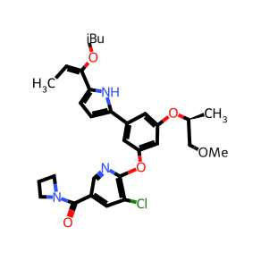 C/C=C(/OC(C)CC)c1ccc(-c2cc(Oc3ncc(C(=O)N4CCC4)cc3Cl)cc(O[C@@H](C)COC)c2)[nH]1